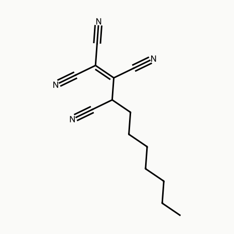 CCCCCCCC(C#N)C(C#N)=C(C#N)C#N